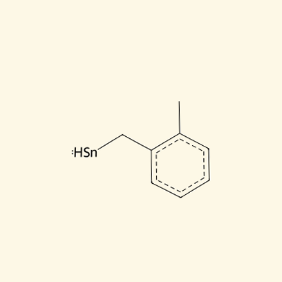 Cc1ccccc1[CH2][SnH]